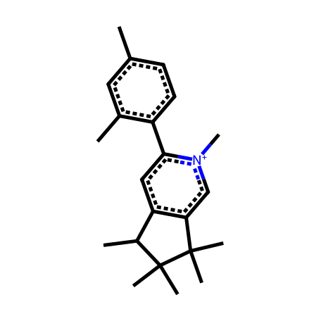 Cc1ccc(-c2cc3c(c[n+]2C)C(C)(C)C(C)(C)C3C)c(C)c1